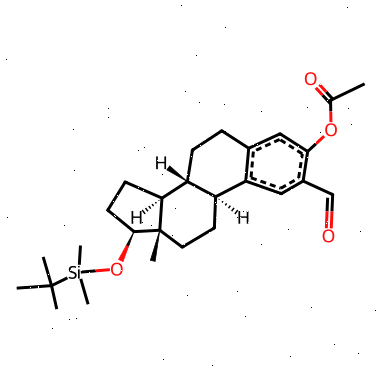 CC(=O)Oc1cc2c(cc1C=O)[C@H]1CC[C@]3(C)[C@@H](O[Si](C)(C)C(C)(C)C)CC[C@H]3[C@@H]1CC2